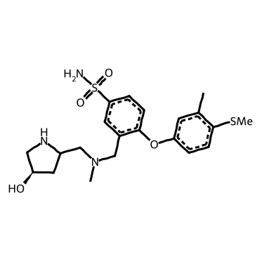 CSc1ccc(Oc2ccc(S(N)(=O)=O)cc2CN(C)CC2C[C@@H](O)CN2)cc1C